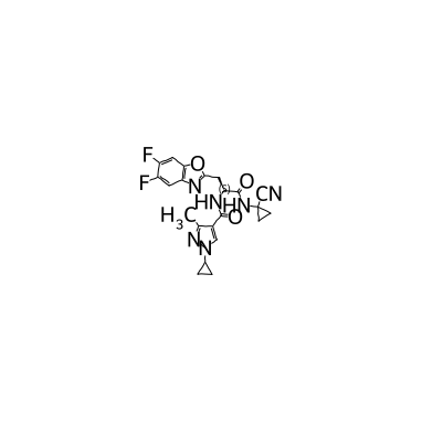 Cc1nn(C2CC2)cc1C(=O)N[C@@H](Cc1nc2cc(F)c(F)cc2o1)C(=O)NC1(C#N)CC1